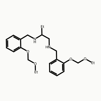 CCOCOc1ccccc1CNCC(CC)NCc1ccccc1OCOCC